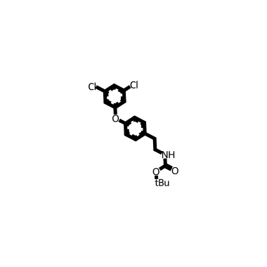 CC(C)(C)OC(=O)NCCc1ccc(Oc2cc(Cl)cc(Cl)c2)cc1